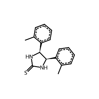 Cc1ccccc1[C@H]1NC(=S)N[C@H]1c1ccccc1C